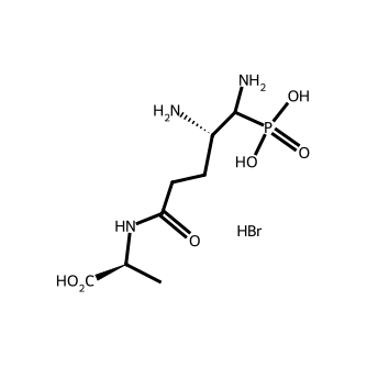 Br.C[C@H](NC(=O)CC[C@H](N)C(N)P(=O)(O)O)C(=O)O